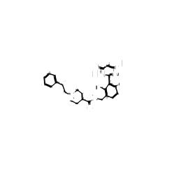 O=C(NCc1ccc(C(F)(F)F)c(-c2nc(C(F)(F)F)cc(=O)[nH]2)c1F)C1CCN(CCc2ccccc2)CC1